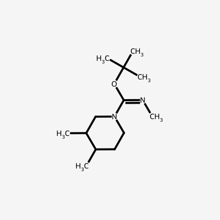 C/N=C(/OC(C)(C)C)N1CCC(C)C(C)C1